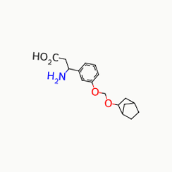 NC(CC(=O)O)c1cccc(OCOC2CC3CCC2C3)c1